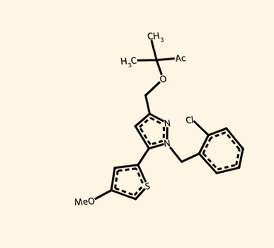 COc1csc(-c2cc(COC(C)(C)C(C)=O)nn2Cc2ccccc2Cl)c1